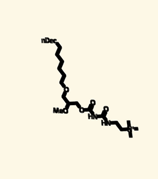 CCCCCCCCCCCCCCCCOCC(COC(=O)NC(=O)NCC[N+](C)(C)C)OC